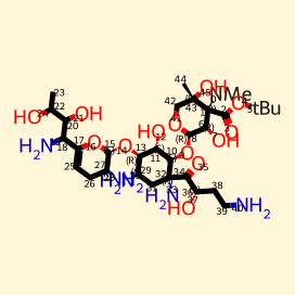 CN[C@]1(C(=O)OC(C)(C)C)[C@@H](O)[C@@H](O[C@@H]2[C@@H](O)[C@H](O[C@H]3OC(C(N)C(O)C(C)O)=CC[C@H]3N)[C@@H](N)C[C@]2(N)C(=O)[C@@H](O)CCN)OC[C@]1(C)O